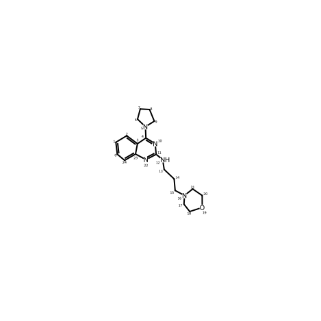 c1ccc2c(N3CCCC3)nc(NCCCN3CCOCC3)nc2c1